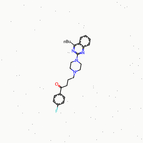 CCCCc1nc(N2CCN(CCCC(=O)c3ccc(F)cc3)CC2)nc2ccccc12